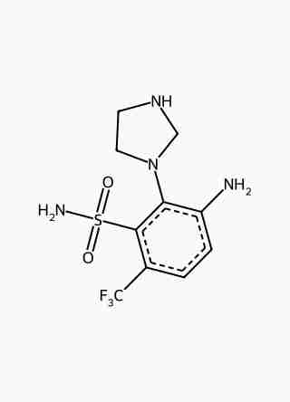 Nc1ccc(C(F)(F)F)c(S(N)(=O)=O)c1N1CCNC1